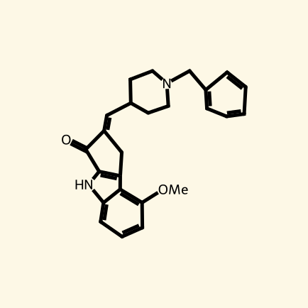 COc1cccc2[nH]c3c(c12)CC(=CC1CCN(Cc2ccccc2)CC1)C3=O